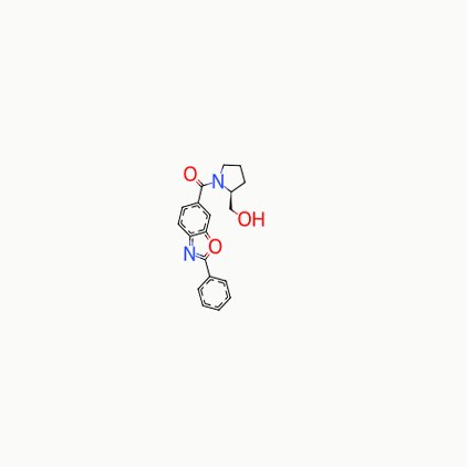 O=C(c1ccc2nc(-c3ccccc3)oc2c1)N1CCC[C@H]1CO